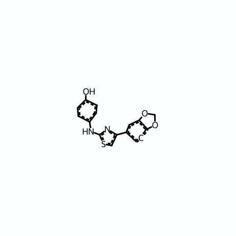 Oc1ccc(Nc2nc(-c3ccc4c(c3)OCO4)cs2)cc1